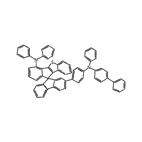 c1ccc(-c2ccc(N(c3ccccc3)c3ccc(-c4ccc5c(c4)C4(c6ccccc6-5)c5cccc(N(c6ccccc6)c6ccccc6)c5-c5sc6ccccc6c54)cc3)cc2)cc1